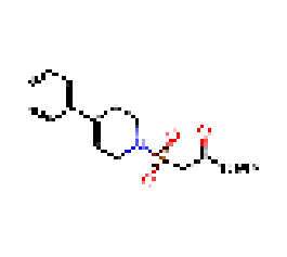 COC(=O)CS(=O)(=O)N1CC=C(c2ccccc2)CC1